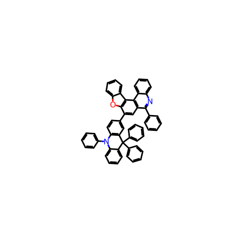 c1ccc(-c2nc3ccccc3c3c2cc(-c2ccc4c(c2)C(c2ccccc2)(c2ccccc2)c2ccccc2N4c2ccccc2)c2oc4ccccc4c23)cc1